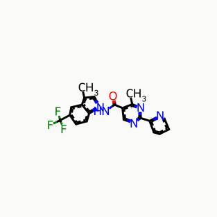 Cc1nc(-c2ccccn2)ncc1C(=O)Nn1cc(C)c2cc(C(F)(F)F)ccc21